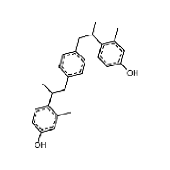 Cc1cc(O)ccc1C(C)Cc1ccc(CC(C)c2ccc(O)cc2C)cc1